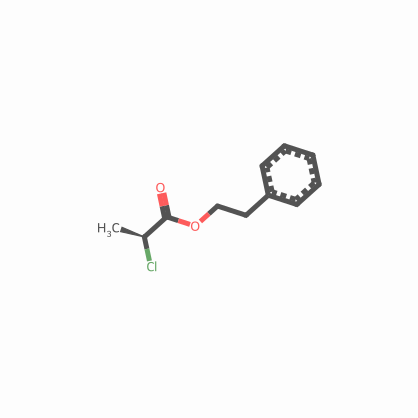 C[C@H](Cl)C(=O)OCCc1ccccc1